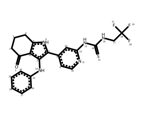 O=C1CCCc2[nH]c(-c3ccnc(NC(=S)NCC(F)(F)F)c3)c(Nc3ccccc3)c21